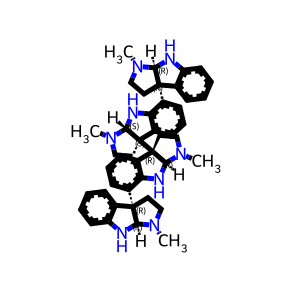 CN1CC[C@]2(c3cccc4c3N[C@@H]3N(C)CC[C@]43[C@@]34CCN(C)[C@@H]3Nc3c([C@]56CCN(C)[C@H]5Nc5ccccc56)cccc34)c3ccccc3N[C@H]12